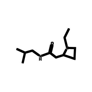 CCN1CCC1CC(=O)NCC(C)C